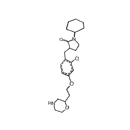 O=C1C(Cc2ccc(OCCC3CNCCO3)cc2Cl)CCN1C1CCCCC1